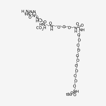 CC(C)(C)OC(=O)NCCOCCOCCOCCOCCOCCOCCOCCOCCOCCOCCOCCNc1c(NCCCOCCOCCOCCCNC(=O)CCC(NC(=O)c2ccc(NCc3cnc4nc(N)[nH]c(=O)c4n3)cc2)C(=O)O)c(=O)c1=O